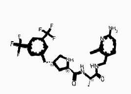 Cc1nc(N)ccc1CNC(=O)[C@H](C)NC(=O)[C@H]1C[C@H](Cc2cc(C(F)(F)F)cc(C(F)(F)F)c2)CN1